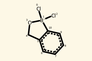 Cl[B-]1(Cl)OCc2ccccc21